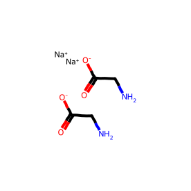 NCC(=O)[O-].NCC(=O)[O-].[Na+].[Na+]